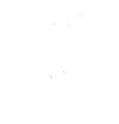 CN(C)C1(Cl)C=CC(N=Nc2ccccc2)=CC1